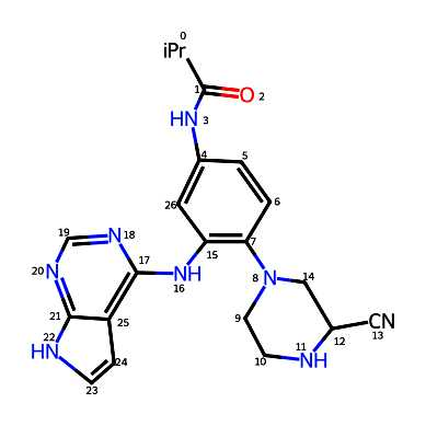 CC(C)C(=O)Nc1ccc(N2CCNC(C#N)C2)c(Nc2ncnc3[nH]ccc23)c1